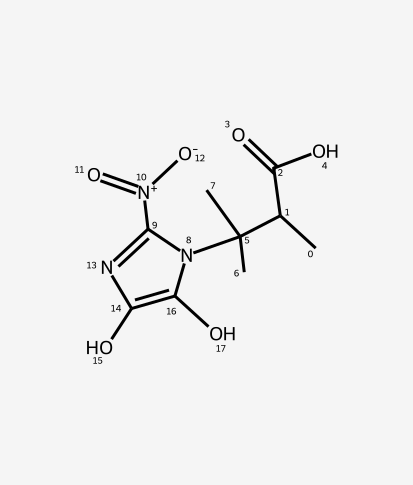 CC(C(=O)O)C(C)(C)n1c([N+](=O)[O-])nc(O)c1O